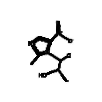 [CH2]C(O)C(Cl)n1c([N+](=O)[O-])cnc1C